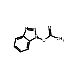 CC(=O)On1nnc2ccccc21